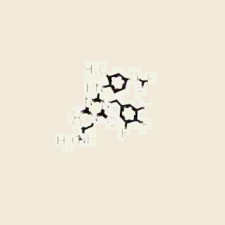 CNC(=O)Cn1c(=O)nc(Nc2ccc(OC(F)F)cc2C)n(Cc2cc(F)c(F)c(F)c2)c1=O